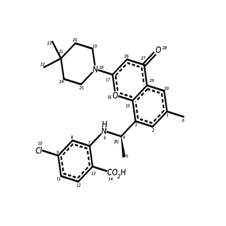 Cc1cc([C@@H](C)Nc2cc(Cl)ccc2C(=O)O)c2oc(N3CCC(C)(C)CC3)cc(=O)c2c1